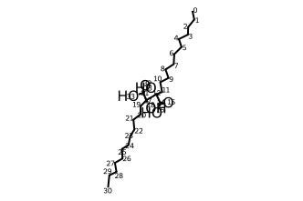 CCCCCCCCCCCCC(O)(C(=O)O)C(O)(CCCCCCCCCCCC)C(=O)O